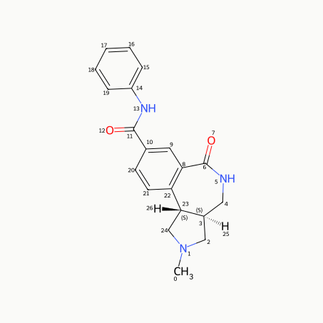 CN1C[C@@H]2CNC(=O)c3cc(C(=O)Nc4ccccc4)ccc3[C@H]2C1